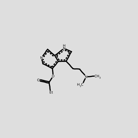 CCC(=O)Oc1cncc2[nH]cc(CCN(C)C)c12